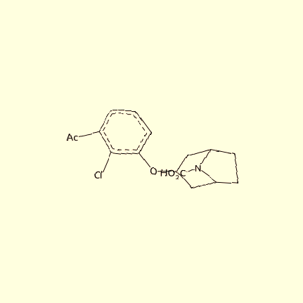 CC(=O)c1cccc(OC2CC3CCC(C2)N3C(=O)O)c1Cl